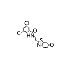 O=C1C=Cc2nc(CCNC(=O)c3cc(Cl)cc(Cl)c3)sc2C1